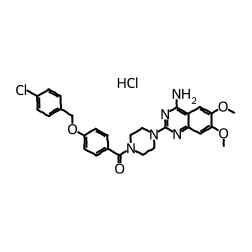 COc1cc2nc(N3CCN(C(=O)c4ccc(OCc5ccc(Cl)cc5)cc4)CC3)nc(N)c2cc1OC.Cl